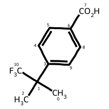 CC(C)(c1ccc(C(=O)O)cc1)C(F)(F)F